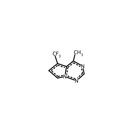 Cc1ncnn2ccc(C(F)(F)F)c12